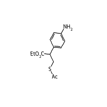 CCOC(=O)C(CSC(C)=O)c1ccc(N)cc1